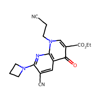 CCOC(=O)c1cn(CCC#N)c2nc(N3CCC3)c(C#N)cc2c1=O